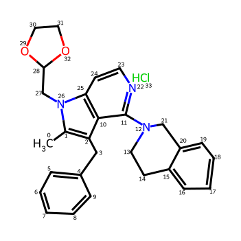 Cc1c(Cc2ccccc2)c2c(N3CCc4ccccc4C3)nccc2n1CC1OCCO1.Cl